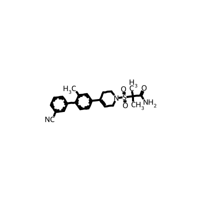 Cc1cc(C2=CCN(S(=O)(=O)C(C)(C)C(N)=O)CC2)ccc1-c1cccc(C#N)c1